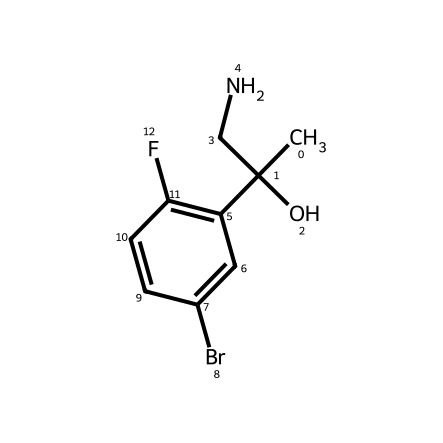 CC(O)(CN)c1cc(Br)ccc1F